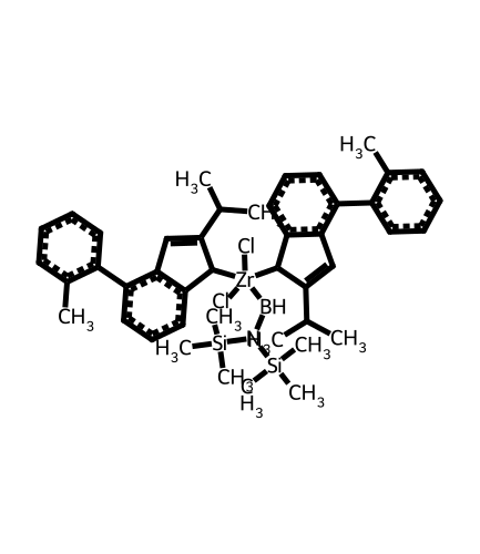 Cc1ccccc1-c1cccc2c1C=C(C(C)C)[CH]2[Zr]([Cl])([Cl])([BH]N([Si](C)(C)C)[Si](C)(C)C)[CH]1C(C(C)C)=Cc2c(-c3ccccc3C)cccc21